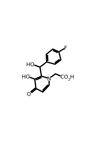 O=C(O)Cn1ccc(=O)c(O)c1C(O)c1ccc(F)cc1